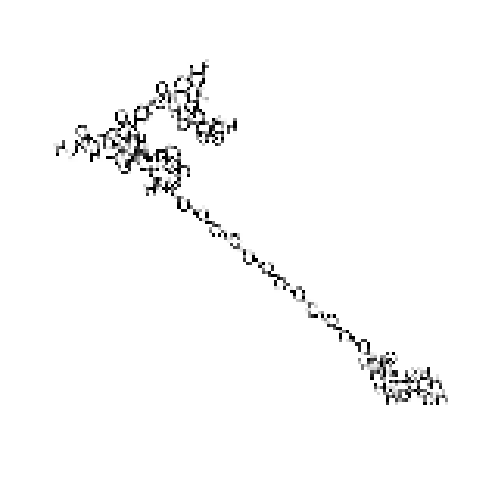 CC[C@@]1(O)C(=O)OCc2c1cc1n(c2=O)Cc2c-1nc1cc(F)c(C)c3c1c2[C@@H](NC(=O)OCc1ccc(NC(=O)[C@H](CCCNC(N)=O)NC(=O)[C@@H](NC(=O)[C@H](CCCCNC(=O)CCOCCOCCOCCOCCOCCOCCOCCOCCOCCOCCOCCOCCNC(=O)NC[C@H](O)[C@@H](O)[C@H](O)[C@H](O)CO)NC(=O)CCCCCN2C(=O)C=CC2=O)C(C)C)cc1)CC3